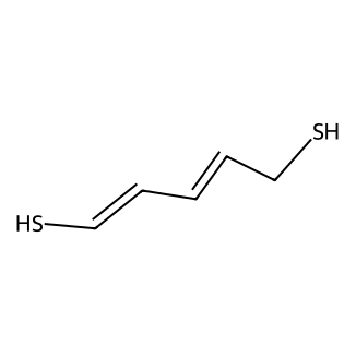 SC=CC=CCS